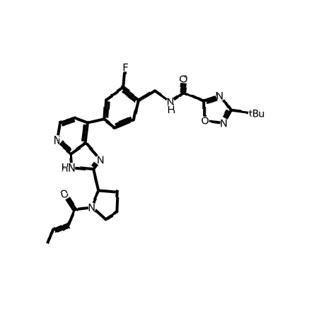 C/C=C/C(=O)N1CCCC1c1nc2c(-c3ccc(CNC(=O)c4nc(C(C)(C)C)no4)c(F)c3)ccnc2[nH]1